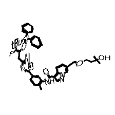 Cc1ccc(-c2nc(CC(O[Si](c3ccccc3)(c3ccccc3)C(C)(C)C)C(F)F)no2)cc1NC(=O)c1cnn2cc(COCCC(C)(C)O)ccc12